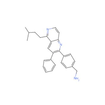 CC(C)CCc1nccc2nc(-c3ccc(CN)cc3)c(-c3ccccc3)cc12